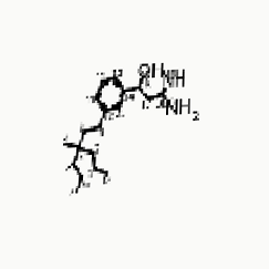 CCCC(C)(CCC)CCc1cccc(C(O)CC(=N)N)c1